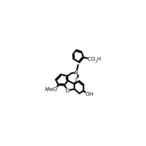 COc1ccc2c3c1OC1CC(O)C=CC31CCN(C)C2.O=C(O)c1ccccc1